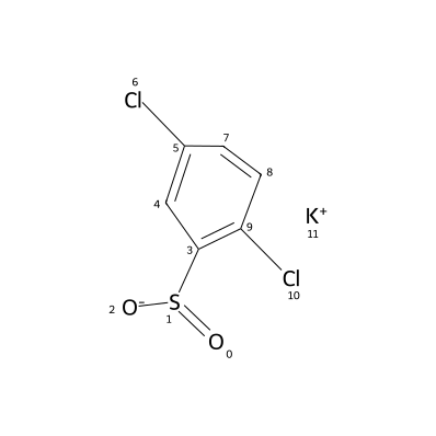 O=S([O-])c1cc(Cl)ccc1Cl.[K+]